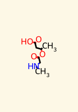 CNCC(=O)OC(C)CC(=O)O